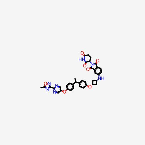 Cc1nc(-c2ncc(Oc3ccc(C(C)c4ccc(O[C@H]5C[C@H](Nc6ccc7c(c6)C(=O)N(C6CCC(=O)NC6=O)C7=O)C5)cc4)cc3)cn2)no1